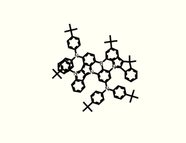 CC(C)(C)c1ccc(N(c2ccc(C(C)(C)C)cc2)c2cc3c4c(c2)-n2c5c(ccc(N(c6ccc(C(C)(C)C)cc6)c6ccc(C(C)(C)C)cc6)c5c5c2c2ccccc2n5-c2ccccc2)B4c2cc(C(C)(C)C)cc4c5c(n-3c24)-c2ccccc2C5(C)C)cc1